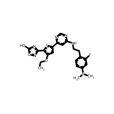 CCOc1cc(-c2cc(NCCc3ccc(N(C)C)cc3F)ncn2)sc1-c1noc(O)n1